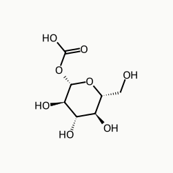 O=C(O)O[C@@H]1O[C@H](CO)[C@@H](O)[C@H](O)[C@H]1O